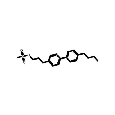 CCCCc1ccc(-c2ccc(CCCOS(C)(=O)=O)cc2)cc1